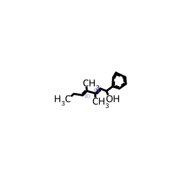 CC/C=C(C)/C(C)=C/C(O)c1ccccc1